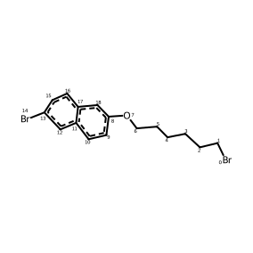 BrCCCCCCOc1ccc2cc(Br)ccc2c1